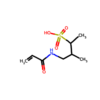 C=CC(=O)NCC(C)C(C)S(=O)(=O)O